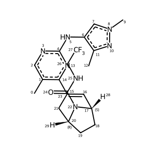 Cc1cnc(Nc2cn(C)nc2C)nc1C1=C[C@@H]2CC[C@H](C1)N2C(=O)NCC(F)(F)F